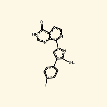 Nc1nn(-c2nccc3c(=O)[nH]cnc23)cc1-c1ccc(F)cc1